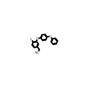 N#CCc1ccc(F)c(Oc2ccc(Oc3ccccc3)cc2)c1